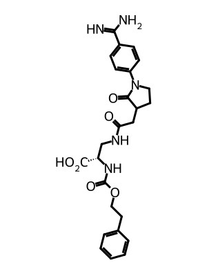 N=C(N)c1ccc(N2CCC(CC(=O)NC[C@H](NC(=O)OCCc3ccccc3)C(=O)O)C2=O)cc1